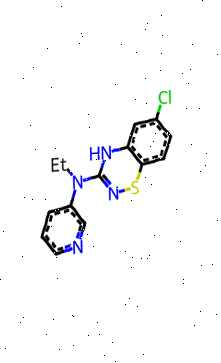 CCN(C1=NSc2ccc(Cl)cc2N1)c1cccnc1